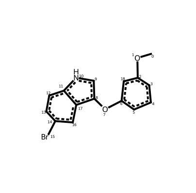 COc1cccc(Oc2c[nH]c3ccc(Br)cc23)c1